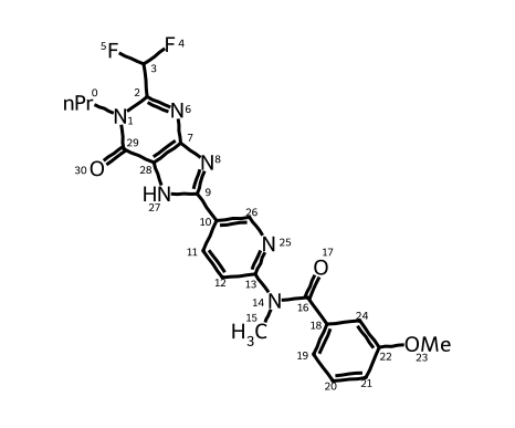 CCCn1c(C(F)F)nc2nc(-c3ccc(N(C)C(=O)c4cccc(OC)c4)nc3)[nH]c2c1=O